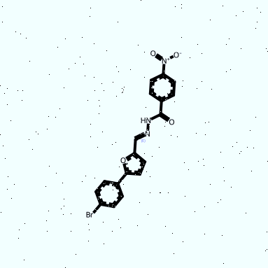 O=C(N/N=C/c1ccc(-c2ccc(Br)cc2)o1)c1ccc([N+](=O)[O-])cc1